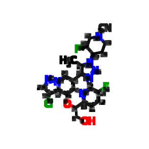 Cc1c(-c2cc(OC(CO)c3ccc(F)cn3)c3c(Cl)cnn3c2)nnn1[C@@H]1CCN(C#N)C[C@@H]1F